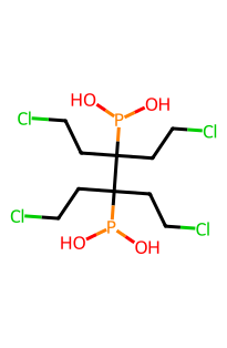 OP(O)C(CCCl)(CCCl)C(CCCl)(CCCl)P(O)O